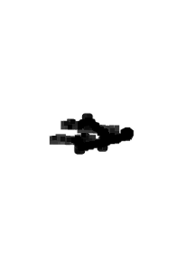 CCCCCCC(CCCC)COC(=O)CCCCCCC(=O)OCC(CNCCCN1CCCC1)COC(=O)CCCCCCC(=O)OCC(CCCC)CCCCCC